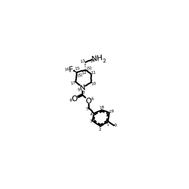 Cc1ccc(COC(=O)N2CC[C@@H](CN)[C@H](F)C2)cc1